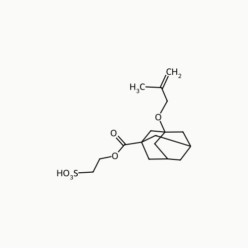 C=C(C)COC12CC3CC(C1)CC(C(=O)OCCS(=O)(=O)O)(C3)C2